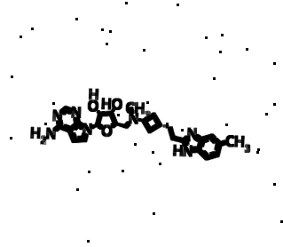 Cc1ccc2[nH]c(CC[C@H]3C[C@@H](N(C)C[C@H]4O[C@@H](n5ccc6c(N)ncnc65)[C@H](O)[C@@H]4O)C3)nc2c1